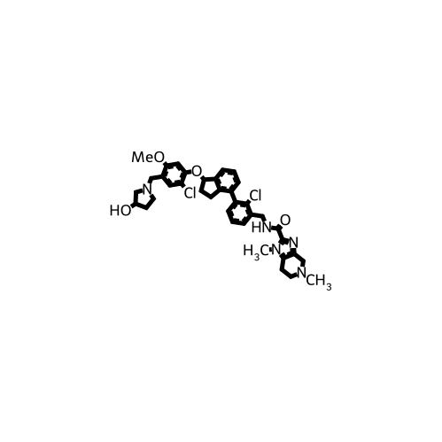 COc1cc(OC2CCc3c(-c4cccc(CNC(=O)c5nc6c(n5C)CCN(C)C6)c4Cl)cccc32)c(Cl)cc1CN1CCC(O)C1